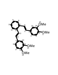 COc1ccc(C=Cc2ccccc2C=Cc2ccc(OC)c(OC)c2)cc1OC